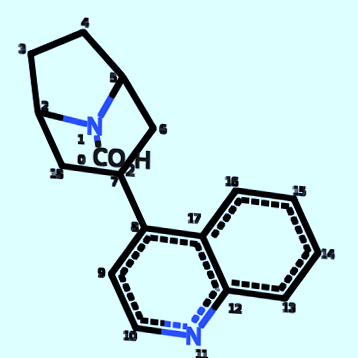 O=C(O)N1C2CCC1CC(c1ccnc3ccccc13)C2